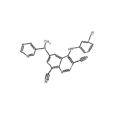 CN(c1cccnc1)c1cc(C#N)c2ncc(C#N)c(Nc3cccc(Cl)c3)c2c1